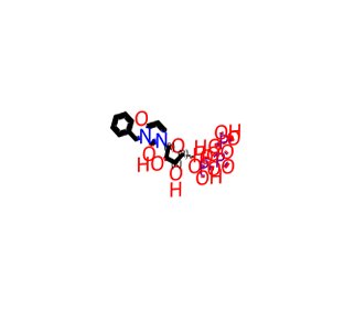 O=c1ccn([C@@H]2O[C@H](COP(=O)(O)OP(=O)(O)OP(=O)(O)O)[C@H](O)C2O)c(=O)n1Cc1ccccc1